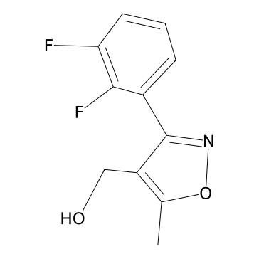 Cc1onc(-c2cccc(F)c2F)c1CO